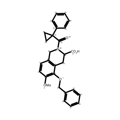 COc1ccc2c(c1OCc1ccccc1)CC(C(=O)O)N(C(=O)C1(c3ccccc3)CC1)C2